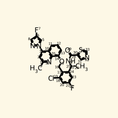 Cc1cc(-n2cc(F)cn2)c2cccc(OCc3c(Cl)cc(F)cc3[C@H](C)NC(=O)c3cncs3)c2n1